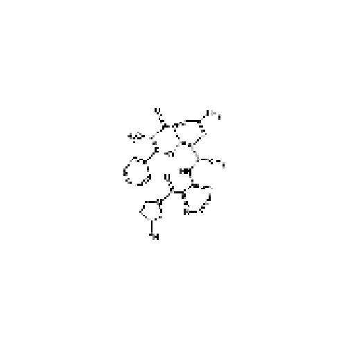 Cc1cc(C(C)Nc2cccnc2C(=O)N2CCC(C#N)C2)c2oc(-c3ccccc3)c(C)c(=O)c2c1